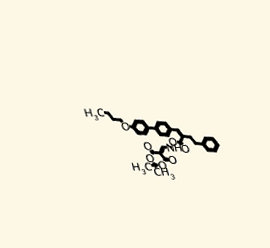 CCCCOc1ccc(-c2ccc(C=C(CCc3ccccc3)C(=O)ONC=C3C(=O)OC(C)(C)OC3=O)cc2)cc1